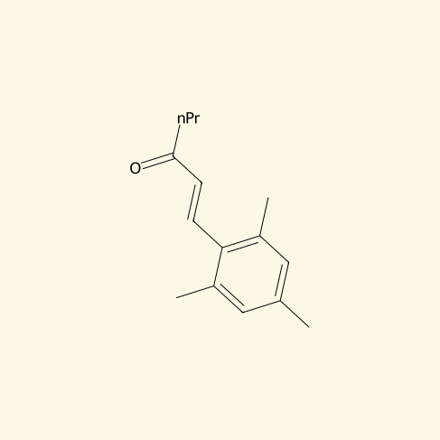 CCCC(=O)/C=C/c1c(C)cc(C)cc1C